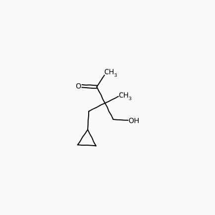 CC(=O)C(C)(CO)CC1CC1